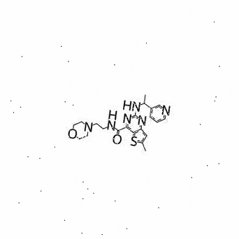 Cc1cc2nc(NC(C)c3cccnc3)nc(C(=O)NCCN3CCOCC3)c2s1